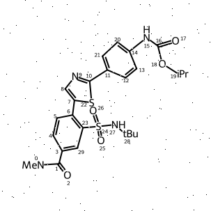 CNC(=O)c1ccc(-c2cnc(-c3ccc(NC(=O)OC(C)C)cc3)s2)c(S(=O)(=O)NC(C)(C)C)c1